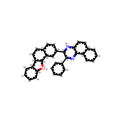 c1ccc(-c2nc3c(ccc4ccccc43)nc2-c2ccc3ccc4c5ccccc5oc4c3c2)cc1